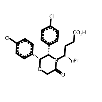 CCC[C@@H](CCC(=O)O)N1C(=O)CO[C@H](c2ccc(Cl)cc2)[C@@H]1c1ccc(Cl)cc1